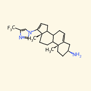 C[C@]12CC[C@H](N)CC1=CCC1C2CC[C@]2(C)C(n3cnc(C(F)(F)F)c3)=CCC12